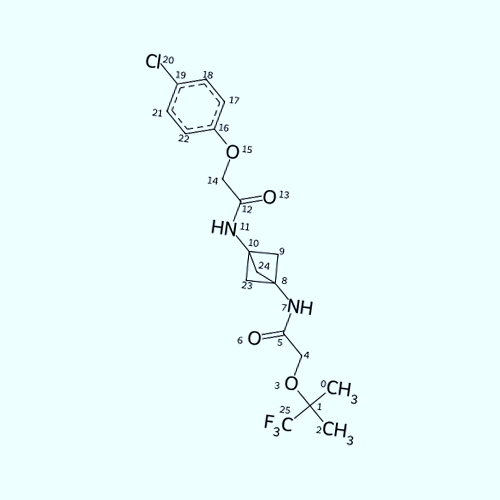 CC(C)(OCC(=O)NC12CC(NC(=O)COc3ccc(Cl)cc3)(C1)C2)C(F)(F)F